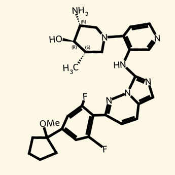 COC1(c2cc(F)c(-c3ccc4cnc(Nc5cnccc5N5C[C@@H](N)[C@H](O)[C@@H](C)C5)n4n3)c(F)c2)CCCC1